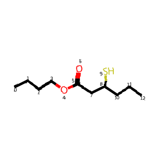 CCCCOC(=O)CC(S)CCC